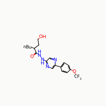 CCCCC(CCO)C(=O)NNc1cnc(-c2ccc(OC(F)(F)F)cc2)cn1